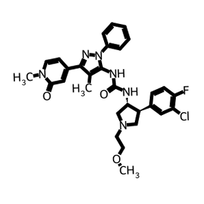 COCCN1C[C@H](NC(=O)Nc2c(C)c(-c3ccn(C)c(=O)c3)nn2-c2ccccc2)[C@@H](c2ccc(F)c(Cl)c2)C1